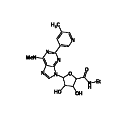 CCNC(=O)C1OC(n2cnc3c(NC)nc(-c4cncc(C)c4)nc32)C(O)C1O